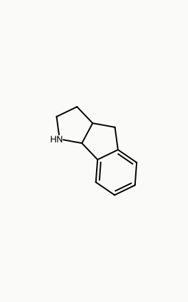 c1ccc2c(c1)CC1CCNC21